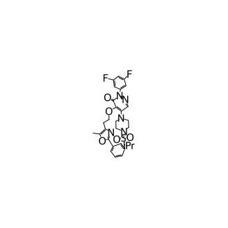 Cc1oc(-c2ccccc2)nc1CCOc1c(N2CCN(S(=O)(=O)C(C)C)CC2)cnn(-c2cc(F)cc(F)c2)c1=O